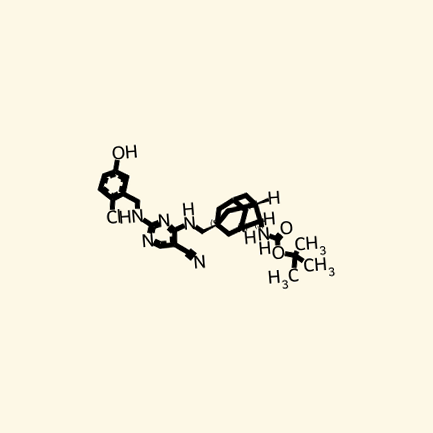 CC(C)(C)OC(=O)N[C@@H]1[C@@H]2CC3C[C@H]1C[C@@](CNc1nc(NCc4cc(O)ccc4Cl)ncc1C#N)(C3)C2